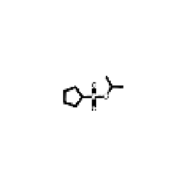 CC(C)OS(=O)(=O)C1CCCC1